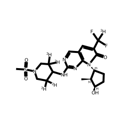 [2H]C(F)(F)c1cc2cnc(NC3C([2H])([2H])CN(S(C)(=O)=O)CC3([2H])[2H])nc2n([C@@H]2CC[C@@H](O)[C@H]2C)c1=O